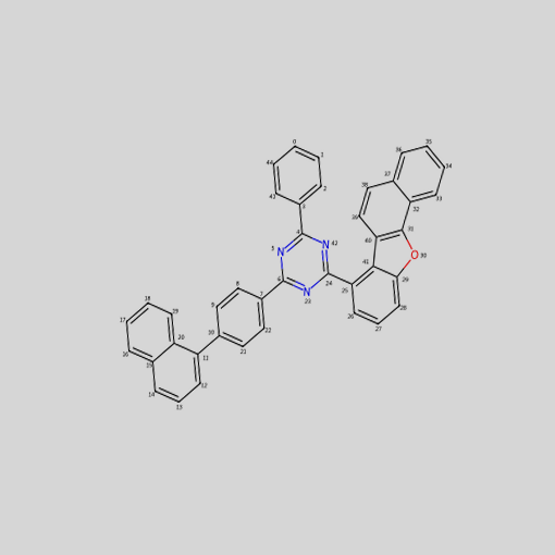 c1ccc(-c2nc(-c3ccc(-c4cccc5ccccc45)cc3)nc(-c3cccc4oc5c6ccccc6ccc5c34)n2)cc1